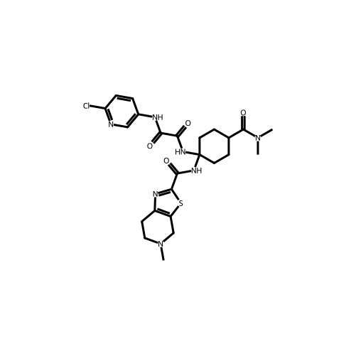 CN1CCc2nc(C(=O)NC3(NC(=O)C(=O)Nc4ccc(Cl)nc4)CCC(C(=O)N(C)C)CC3)sc2C1